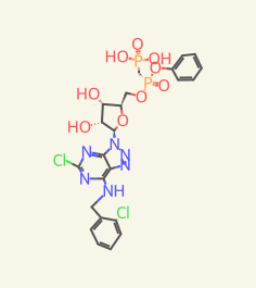 O=P(O)(O)C[P@](=O)(OC[C@H]1O[C@@H](n2nnc3c(NCc4ccccc4Cl)nc(Cl)nc32)[C@H](O)[C@@H]1O)Oc1ccccc1